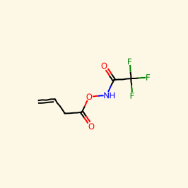 C=CCC(=O)ONC(=O)C(F)(F)F